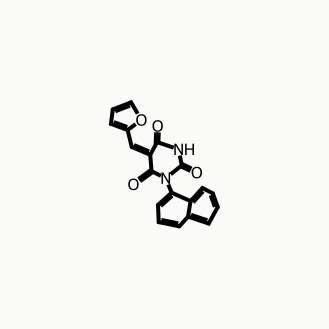 O=C1NC(=O)N(c2cccc3ccccc23)C(=O)C1=Cc1ccco1